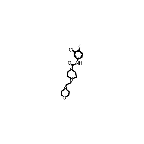 O=C(Nc1ccc(Cl)c(Cl)c1)N1CCN(CCN2CCOCC2)CC1